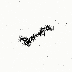 CCOC(=O)[C@H](Cc1ccc(OCCNC2C3CN(Cc4ccc(Cl)cc4)CC32)cc1)Oc1ccc(C(C)C)cc1